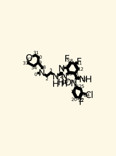 CN(CCNc1nc2c(F)c(F)cc(C(=N)N(O)c3ccc(F)c(Cl)c3)c2[nH]1)CC1CCOCC1